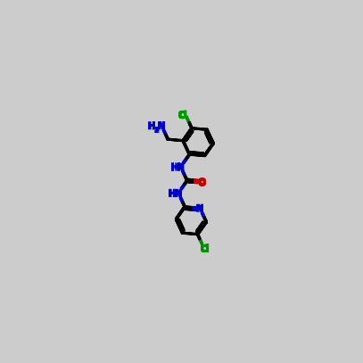 NCc1c(Cl)cccc1NC(=O)Nc1ccc(Cl)cn1